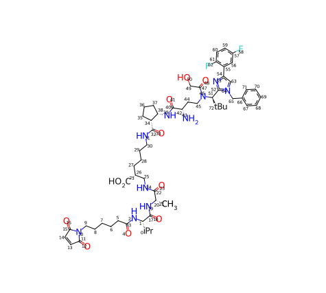 CC(C)[C@H](NC(=O)CCCCCN1C(=O)C=CC1=O)C(=O)N[C@@H](C)C(=O)NC[C@@H](CCCCNC(=O)[C@@H]1CCC[C@@H]1NC(=O)[C@@H](N)CCN(C(=O)CO)[C@@H](c1nc(-c2cc(F)ccc2F)cn1Cc1ccccc1)C(C)(C)C)C(=O)O